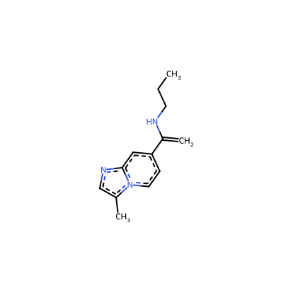 C=C(NCCC)c1ccn2c(C)cnc2c1